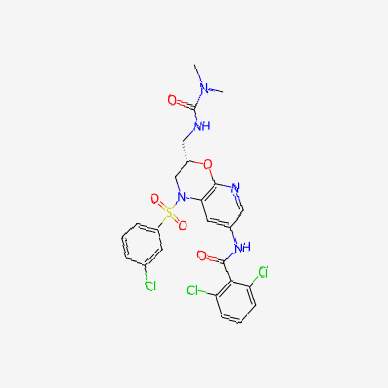 CN(C)C(=O)NC[C@H]1CN(S(=O)(=O)c2cccc(Cl)c2)c2cc(NC(=O)c3c(Cl)cccc3Cl)cnc2O1